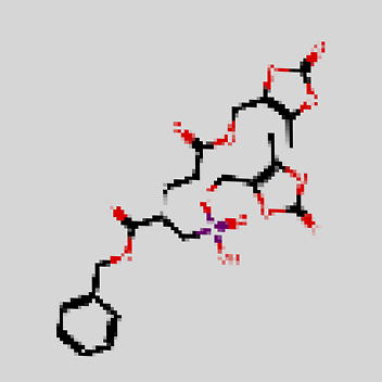 Cc1oc(=O)oc1COC(=O)CC[C@H](CP(=O)(O)OCc1oc(=O)oc1C)C(=O)OCc1ccccc1